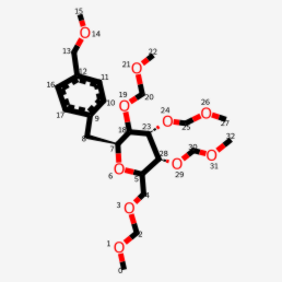 COCOCC1O[C@@H](Cc2ccc(COC)cc2)C(OCOC)[C@H](OCOC)[C@@H]1OCOC